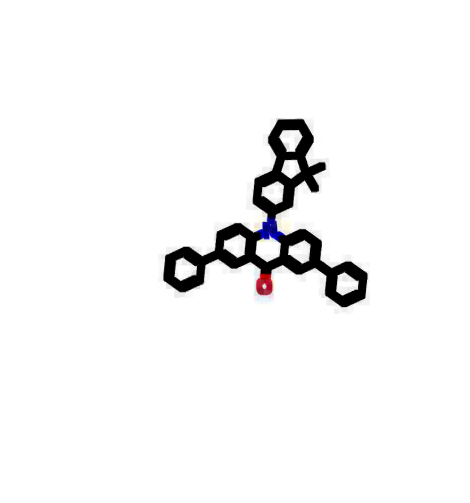 CC1(C)c2ccccc2-c2ccc(-n3c4ccc(-c5ccccc5)cc4c(=O)c4cc(-c5ccccc5)ccc43)cc21